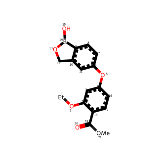 CCOc1cc(Oc2ccc3c(c2)COB3O)ccc1C(=O)OC